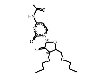 CCCOCC1O[C@@H](n2ccc(NC(C)=O)nc2=O)C(=O)[C@@H]1OCCC